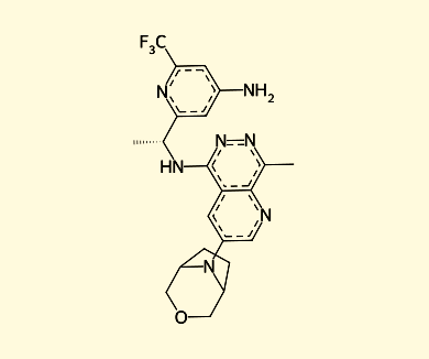 Cc1nnc(N[C@H](C)c2cc(N)cc(C(F)(F)F)n2)c2cc(N3C4CCC3COC4)cnc12